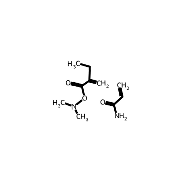 C=C(CC)C(=O)ON(C)C.C=CC(N)=O